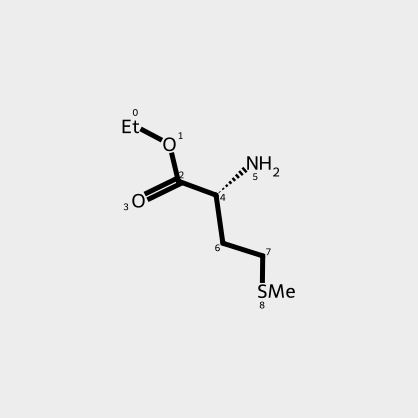 CCOC(=O)[C@H](N)CCSC